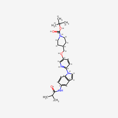 CC(C)C(=O)Nc1ccc2c(ccn2-c2ccc(OCC3CCN(C(=O)OC(C)(C)C)CC3)cn2)c1